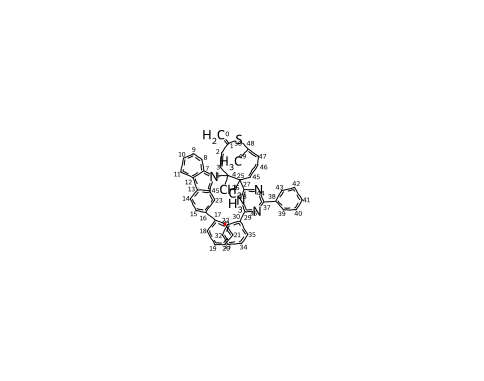 C=C1/C=C\C(C)(n2c3ccccc3c3ccc(-c4ccccc4)cc32)C(C)(c2nc(-c3ccccc3)nc(-c3ccccc3)n2)/C=C\C=C(/C)S1